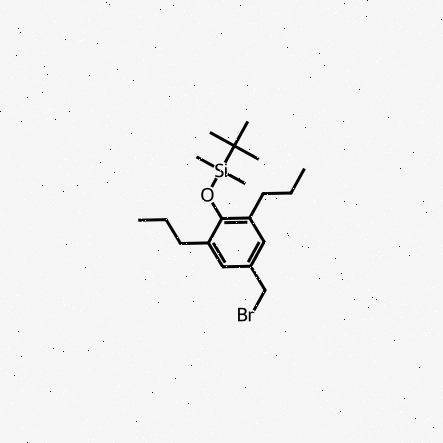 CCCc1cc(CBr)cc(CCC)c1O[Si](C)(C)C(C)(C)C